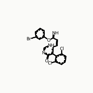 N=C(/C=C\c1[nH]cnc(=O)c1-c1c(Cl)cccc1Cl)Oc1cccc(Br)c1